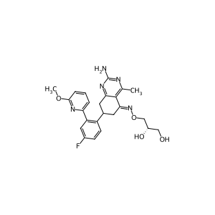 COc1cccc(-c2cc(F)ccc2C2C/C(=N\OC[C@@H](O)CO)c3c(C)nc(N)nc3C2)n1